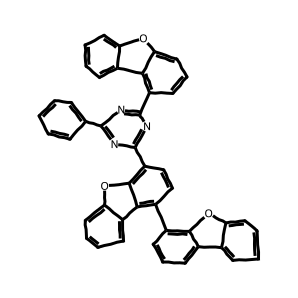 c1ccc(-c2nc(-c3ccc(-c4cccc5c4oc4ccccc45)c4c3oc3ccccc34)nc(-c3cccc4oc5ccccc5c34)n2)cc1